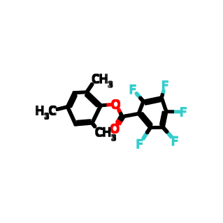 Cc1cc(C)c(OC(=O)c2c(F)c(F)c(F)c(F)c2F)c(C)c1